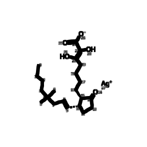 CCCCC(C)(C)C/C=C/[C@H]1CCC(=O)[C@@H]1CCCC/C(O)=C(\O)C(=O)[O-].[Ag+]